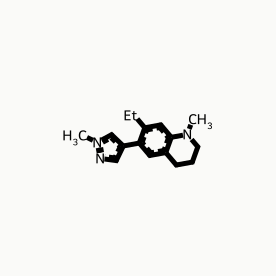 CCc1cc2c(cc1-c1cnn(C)c1)CCCN2C